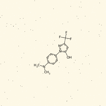 CN(C)c1ccc(-n2nc(C(F)(F)F)cc2O)cc1